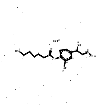 CC(C)(C)CCCCCC(=O)Oc1ccc(C(O)CNC(C)(C)C)cc1O.Cl